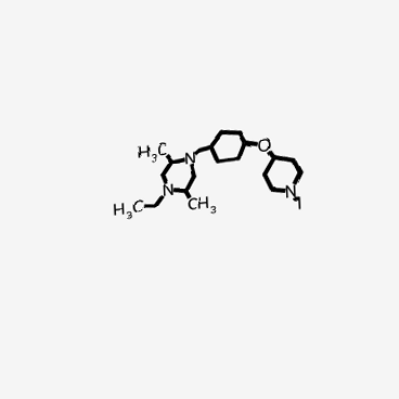 CCN1CC(C)N(CC2CCC(OC3CCN(I)CC3)CC2)CC1C